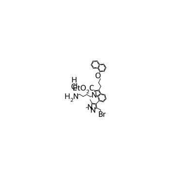 CCOC(=O)c1c(CCCOc2cccc3ccccc23)c2cccc(-c3c(CBr)nn(C)c3C)c2n1CCCCN.Cl